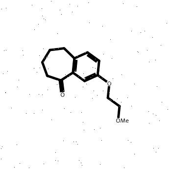 COCCOc1ccc2c(c1)C(=O)CCCC2